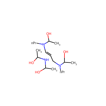 CC(O)NC(C)O.CCCN(C=CCN(CCC)C(C)O)C(C)O